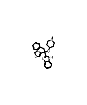 CN1CCC(OC(Cc2ccccc2)(C2=COCO2)c2nc3ccccc3[nH]2)CC1